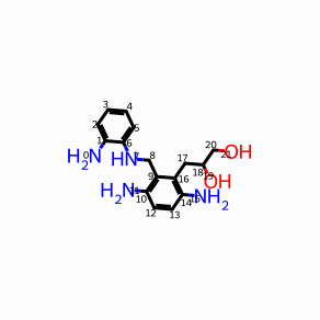 Nc1ccccc1NCc1c(N)ccc(N)c1CC(O)CO